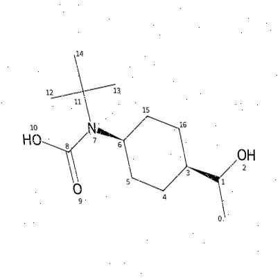 CC(O)[C@H]1CC[C@@H](N(C(=O)O)C(C)(C)C)CC1